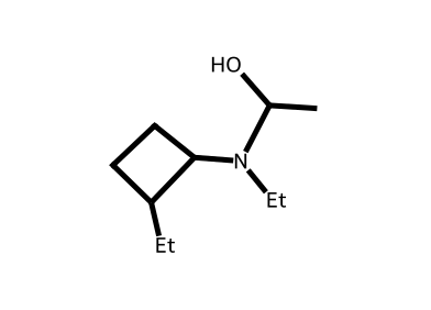 CCC1CCC1N(CC)C(C)O